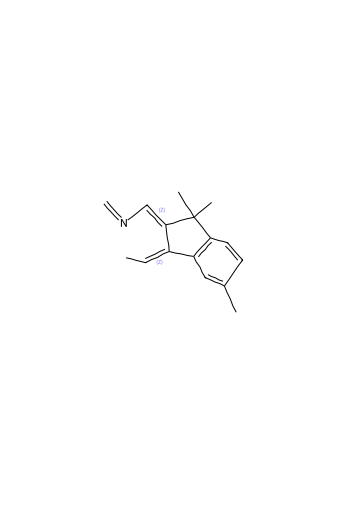 C=N/C=C1\C(=C/C)c2cc(C)ccc2C1(C)C